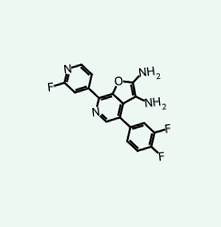 Nc1oc2c(-c3ccnc(F)c3)ncc(-c3ccc(F)c(F)c3)c2c1N